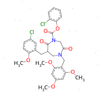 COc1cc(OC)c(CN2CC(Cc3cc(Cl)ccc3OC)C(=O)N(C(=O)Oc3ccccc3Cl)CC2=O)c(OC)c1